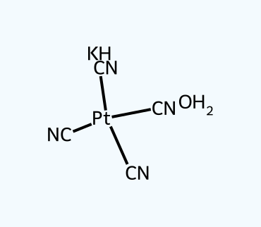 N#[C][Pt]([C]#N)([C]#N)[C]#N.O.[KH]